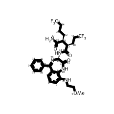 COCCNc1cccc2c1NC(=O)[C@@H](NC(=O)[C@H](CCC(F)(F)F)[C@H](CCCC(F)(F)F)C(N)=O)N=C2c1ccccc1